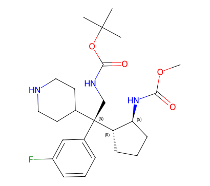 COC(=O)N[C@H]1CCC[C@@H]1[C@](CNC(=O)OC(C)(C)C)(c1cccc(F)c1)C1CCNCC1